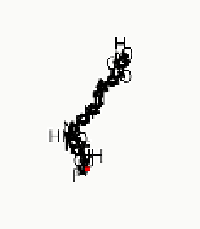 O=C1CCC(N2Cc3cc(N4CCC5(CCN(CC6CCN(c7ccc(-c8cnc9[nH]cc(C(=O)c%10c(F)ccc(NS(=O)(=O)N%11CC[C@@H](F)C%11)c%10F)c9c8)cc7)CC6)C5)C4)ccc3C2=O)C(=O)N1